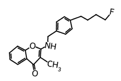 Cc1c(NCc2ccc(CCCCF)cc2)oc2ccccc2c1=O